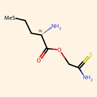 CSCC[C@H](N)C(=O)OCC(N)=S